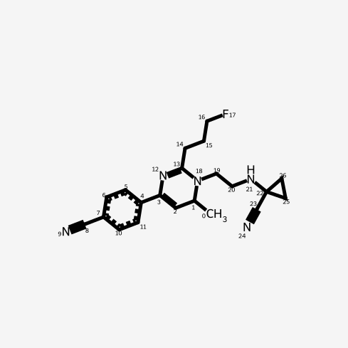 CC1C=C(c2ccc(C#N)cc2)N=C(CCCF)N1CCNC1(C#N)CC1